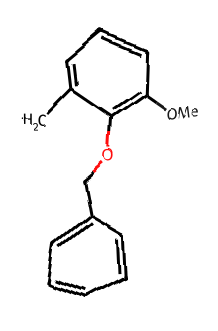 [CH2]c1cccc(OC)c1OCc1ccccc1